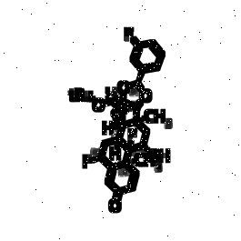 CC(C)(C)OCC(=O)[C@@]12O[C@H](c3cccc(F)c3)O[C@@H]1C[C@H]1[C@@H]3C[C@H](F)C4=CC(=O)C=C[C@]4(C)[C@@]3(F)[C@@H](O)C[C@@]12C